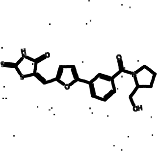 O=C1NC(=S)SC1=Cc1ccc(-c2cccc(C(=O)N3CCCC3CO)c2)o1